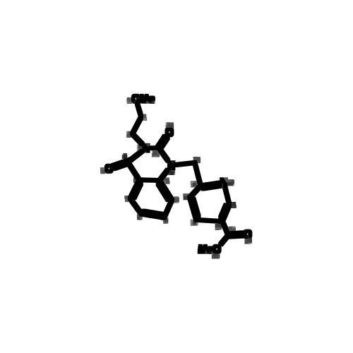 COCCn1c(=O)c2ccccc2n(Cc2ccc(C(=O)OC)cn2)c1=O